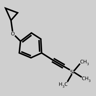 C[Si](C)(C)C#Cc1ccc(OC2CC2)cc1